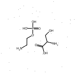 NC(CO)C(=O)O.NCCOP(=O)(O)O